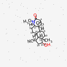 CN1C(=O)CC[C@]2(C)[C@H]3CC[C@@]4(C)[C@H]([C@@H]3CC[C@@H]12)[C@H](C#N)C[C@@H]4O